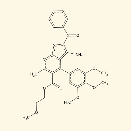 COCCOC(=O)c1c(C)nc2sc(C(=O)c3ccccc3)c(N)c2c1-c1cc(OC)c(OC)c(OC)c1